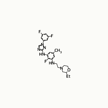 CCC1CN(CCNc2cc(C)cc(Nc3ncn(-c4cc(F)cc(F)c4)n3)c2F)CCO1